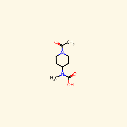 CC(=O)N1CCC(N(C)C(=O)O)CC1